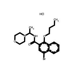 CCCCOc1c(C(=O)NC(C)N2CCOCC2)cc(Br)c2ccccc12.Cl